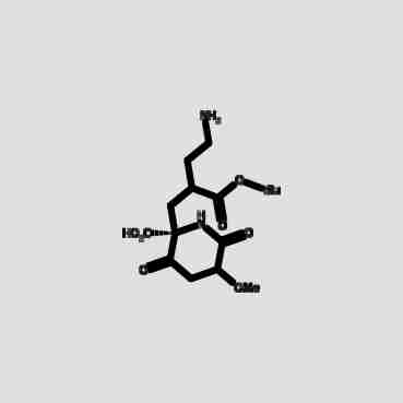 COC1CC(=O)[C@](CC(CCN)C(=O)OC(C)(C)C)(C(=O)O)NC1=O